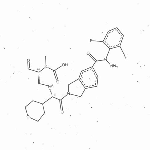 CN(C(=O)O)[C@H](C=O)CN[C@H](C(=O)N1Cc2ccc(C(=O)N(N)c3c(F)cccc3F)cc2C1)C1CCOCC1